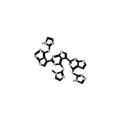 Cn1ccnc1Sc1nc(-c2coc3ncnc(Sc4ncc[nH]4)c23)nc2occ(-c3nc(Sc4nnc[nH]4)c4ccoc4n3)c12